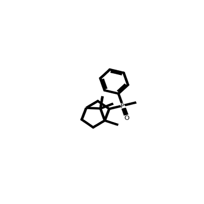 CC1(C)C2CCC1(C)C(P(C)(=O)c1ccccc1)C2